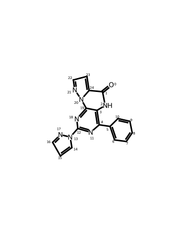 O=c1[nH]c2c(-c3ccccc3)nc(-n3cccn3)nc2n2nccc12